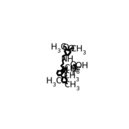 COc1ccc(CNCCCc2c3cccc(-c4c(C)cc(C)cc4C)c3nn2C)cc1OC.O=C(O)C(F)(F)F